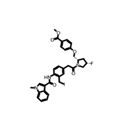 COC(=O)c1ccc(OC[C@@H]2C[C@H](F)CN2C(=O)Cc2ccc(NC(=O)c3cn(C)c4ccccc34)c(CI)c2)cc1